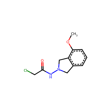 COc1cccc2c1CN(NC(=O)CCl)C2